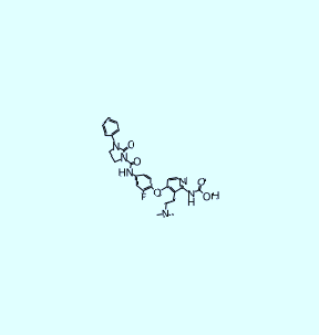 CN(C)CCc1c(Oc2ccc(NC(=O)N3CCN(c4ccccc4)C3=O)cc2F)ccnc1NC(=O)O